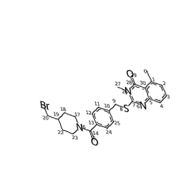 Cc1cccc2nc(SCc3ccc(C(=O)N4CCC(CBr)CC4)cc3)n(C)c(=O)c12